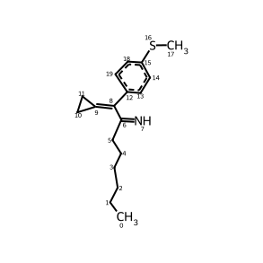 CCCCCCC(=N)C(=C1CC1)c1ccc(SC)cc1